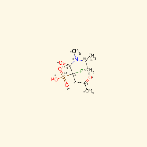 CC(=O)CC(F)(C(=O)N(C)C(C)C)S(=O)(=O)O